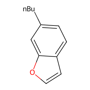 CCCCc1ccc2ccoc2c1